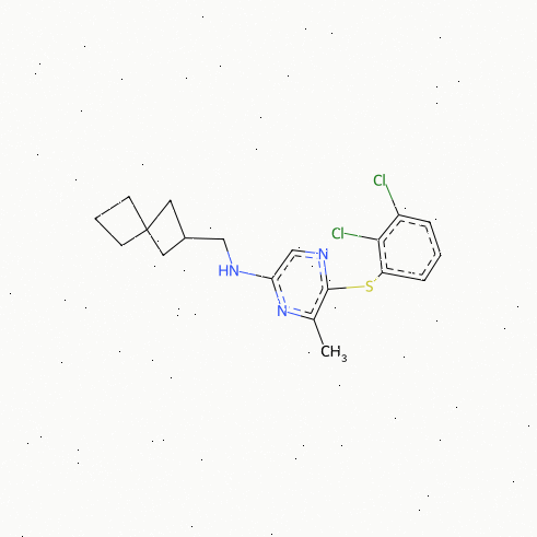 Cc1nc(NCC2CC3(CCC3)C2)cnc1Sc1cccc(Cl)c1Cl